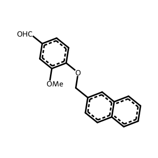 COc1cc(C=O)ccc1OCc1ccc2ccccc2c1